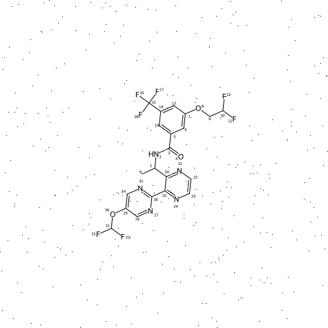 CC(NC(=O)c1cc(OCC(F)F)cc(C(F)(F)F)c1)c1nccnc1-c1ncc(OC(F)F)cn1